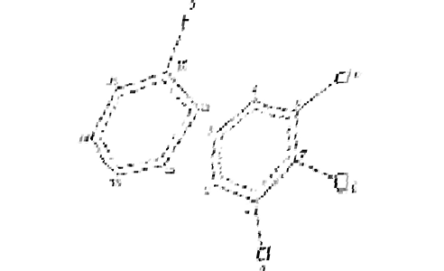 Clc1cccc(Cl)c1Cl.Fc1ccccc1